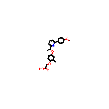 COc1ccc(-c2cccc(C(C)Oc3ccc(OCC(=O)O)c(C)c3)n2)cc1